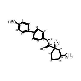 CCCCc1ccc(-c2ccc(OC(=O)C3(C#N)CCCC(C)C3)cc2)cc1